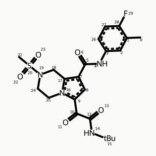 Cc1cc(NC(=O)c2cc(C(=O)C(=O)NC(C)(C)C)n3c2CN(S(C)(=O)=O)CC3)ccc1F